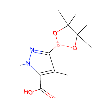 Cc1c(B2OC(C)(C)C(C)(C)O2)nn(C)c1C(=O)O